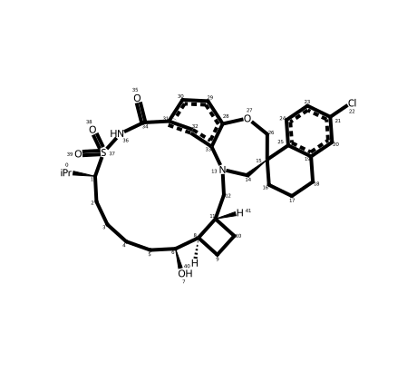 CC(C)[C@@H]1CCCC[C@H](O)[C@@H]2CC[C@H]2CN2C[C@@]3(CCCc4cc(Cl)ccc43)COc3ccc(cc32)C(=O)NS1(=O)=O